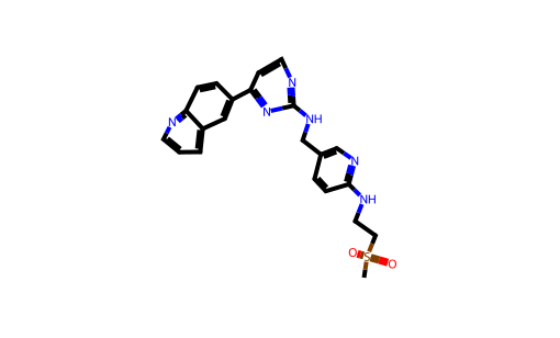 CS(=O)(=O)CCNc1ccc(CNc2nccc(-c3ccc4ncccc4c3)n2)cn1